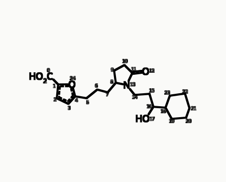 O=C(O)c1ccc(CCCC2CCC(=O)N2CCC(O)C2CCCCC2)o1